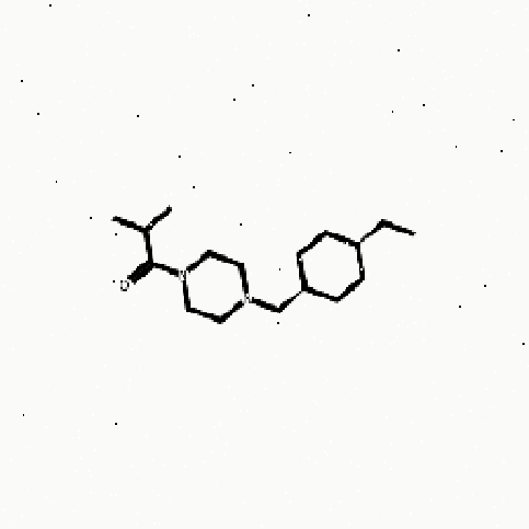 CC[C@H]1CC[C@@H](CN2CCN(C(=O)C(C)C)CC2)CC1